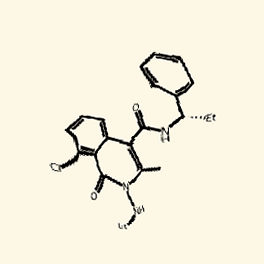 CCNn1c(C)c(C(=O)N[C@@H](CC)c2ccccc2)c2cccc(Cl)c2c1=O